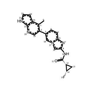 Cc1c(-c2ccc3nc(NC(=O)[C@@H]4C[C@@H]4F)cn3c2)cnc2[nH]ccc12